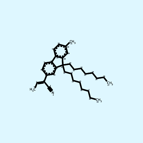 C/C=C(\C#N)c1ccc2c(c1)C(CCCCCCCC)(CCCCCCCC)c1cc(C)ccc1-2